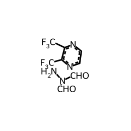 FC(F)(F)c1nccnc1C(F)(F)F.NN(C=O)C=O